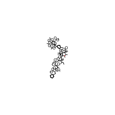 C#CCOc1cc(O[C@@H]2O[C@H](C(=O)OC)[C@@H](OC(C)=O)[C@H](OC(C)=O)[C@H]2OC(C)=O)ccc1COC(=O)N(C)[C@H](C(=O)N[C@H](C(=O)N(C)[C@@H](C(C)CC)[C@@H](CC(=O)N1CCC[C@H]1[C@H](OC)[C@@H](C)C(=O)NC(Cc1ccccc1)C(=O)OC)OC)C(C)C)C(C)C